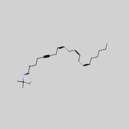 CCCCC/C=C\C/C=C\C/C=C\CC#CCCC(F)C1=NC(C)(C)CO1